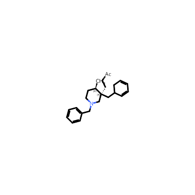 CC(=O)CC[C@]1(CC2C=CC=CC2)CN(Cc2ccccc2)CC[C@H]1C